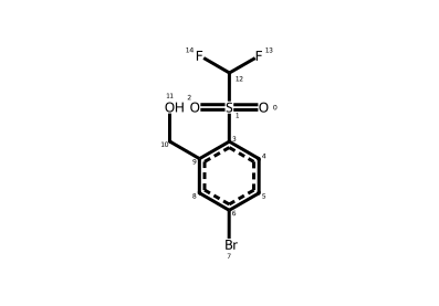 O=S(=O)(c1ccc(Br)cc1CO)C(F)F